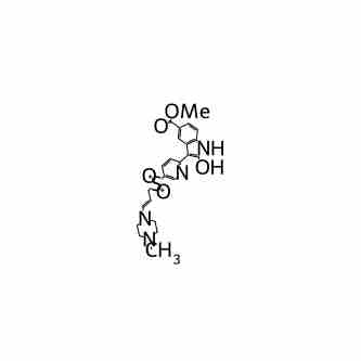 COC(=O)c1ccc2[nH]c(O)c(-c3ccc(S(=O)(=O)CC=CN4CCN(C)CC4)cn3)c2c1